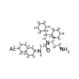 CC(=O)c1ccc2cc(N(C)CC(=O)N(CCCN)CC(c3ccccc3)c3ccccc3)ccc2c1